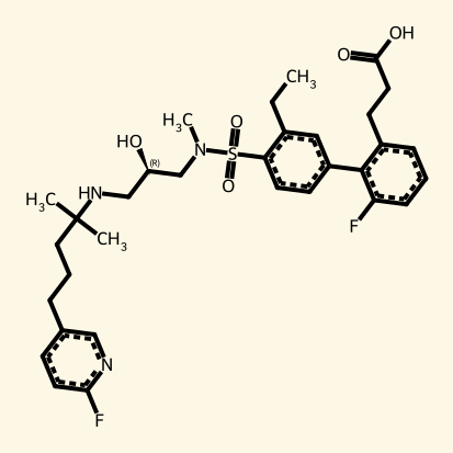 CCc1cc(-c2c(F)cccc2CCC(=O)O)ccc1S(=O)(=O)N(C)C[C@H](O)CNC(C)(C)CCCc1ccc(F)nc1